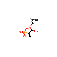 C=C(C(=O)OCCCCCC)P(=O)(O)O